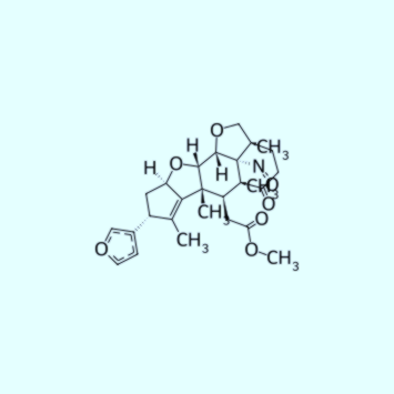 COC(=O)C[C@H]1[C@]2(C)C3=C(C)[C@H](c4ccoc4)C[C@H]3O[C@@H]2[C@@H]2OC[C@]3(C)CCC(=O)[C@@]1(C)[C@@]23N=O